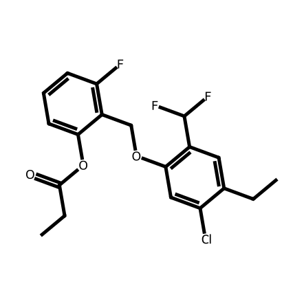 CCC(=O)Oc1cccc(F)c1COc1cc(Cl)c(CC)cc1C(F)F